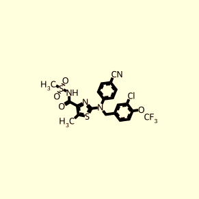 Cc1sc(N(Cc2ccc(OC(F)(F)F)c(Cl)c2)c2ccc(C#N)cc2)nc1C(=O)NS(C)(=O)=O